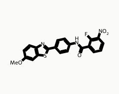 COc1ccc2nc(-c3ccc(NC(=O)c4cccc([N+](=O)[O-])c4F)cc3)sc2c1